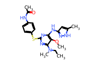 CCN(C)c1nc(Sc2ccc(NC(C)=O)cc2)nc(Nc2cc(C)[nH]n2)c1OC